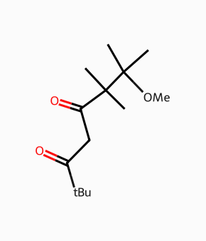 COC(C)(C)C(C)(C)C(=O)CC(=O)C(C)(C)C